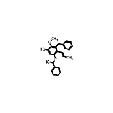 CC=Cc1c(OC(O)c2ccccc2)cc(O)c(OC)c1Cc1ccccc1